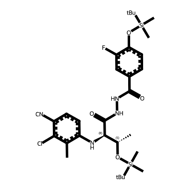 [C-]#[N+]c1ccc(N[C@@H](C(=O)NNC(=O)c2ccc(O[Si](C)(C)C(C)(C)C)c(F)c2)[C@H](C)O[Si](C)(C)C(C)(C)C)c(C)c1Cl